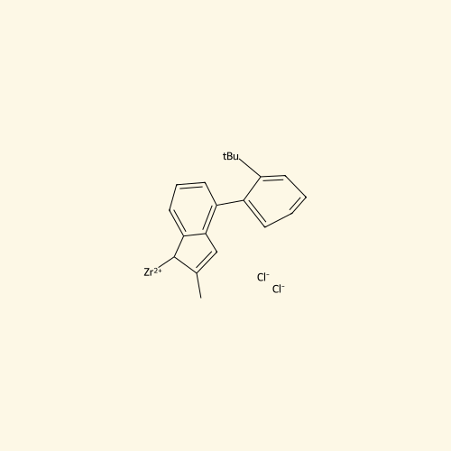 CC1=Cc2c(-c3ccccc3C(C)(C)C)cccc2[CH]1[Zr+2].[Cl-].[Cl-]